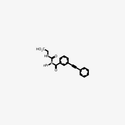 CCCN(C(=O)NCC(=O)O)C(=O)c1cccc(C#Cc2ccccc2)c1